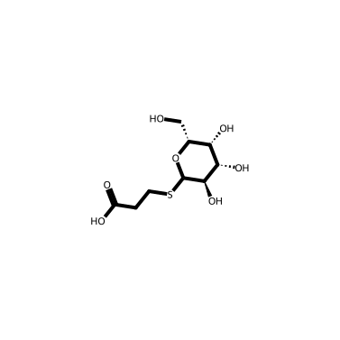 O=C(O)CCSC1O[C@H](CO)[C@H](O)[C@H](O)[C@H]1O